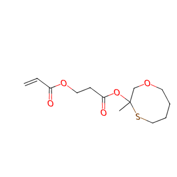 C=CC(=O)OCCC(=O)OC1(C)COCCCCS1